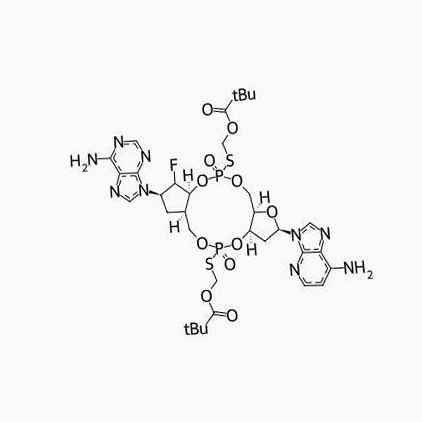 CC(C)(C)C(=O)OCSP1(=O)OC[C@H]2O[C@@H](n3cnc4c(N)ccnc43)C[C@H]2OP(=O)(SCOC(=O)C(C)(C)C)OC[C@H]2C[C@@H](n3cnc4c(N)ncnc43)C(F)[C@H]2O1